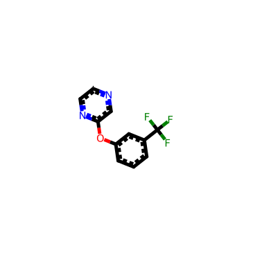 FC(F)(F)c1cccc(Oc2cn[c]cn2)c1